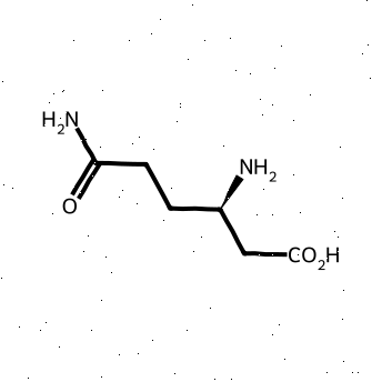 NC(=O)CC[C@@H](N)CC(=O)O